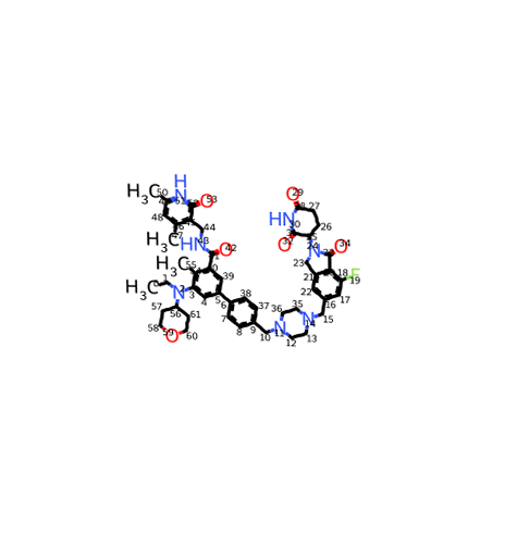 CCN(c1cc(-c2ccc(CN3CCN(Cc4cc(F)c5c(c4)CN(C4CCC(=O)NC4=O)C5=O)CC3)cc2)cc(C(=O)NCc2c(C)cc(C)[nH]c2=O)c1C)C1CCOCC1